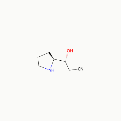 N#CC[C@@H](O)[C@@H]1CCCN1